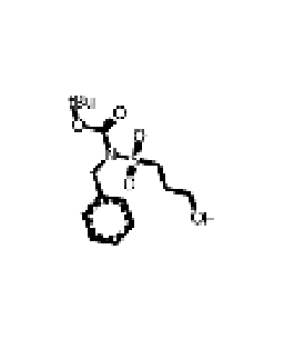 CC(C)(C)OC(=O)N(Cc1ccccc1)S(=O)(=O)CCCO